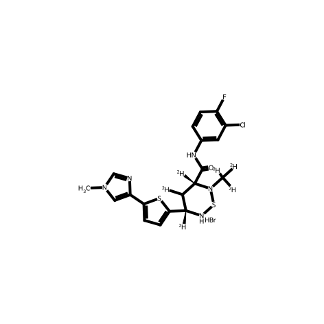 Br.[2H]C1[C@]([2H])(C(=O)Nc2ccc(F)c(Cl)c2)N(C([2H])([2H])[2H])SN[C@]1([2H])c1ccc(-c2cn(C)cn2)s1